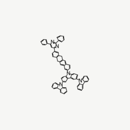 c1ccc(-c2cc(-c3ccc4c(c3)Cc3cc5ccc(-n6c7ccc(-n8c9ccccc9c9ccccc98)cc7c7cc(-n8c9ccccc9c9ccccc98)ccc76)cc5cc3C4)nc(-c3ccccc3)n2)cc1